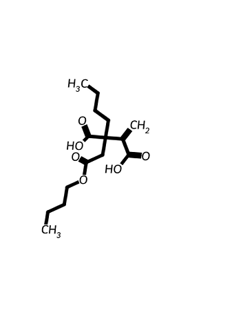 C=C(C(=O)O)C(CCCC)(CC(=O)OCCCC)C(=O)O